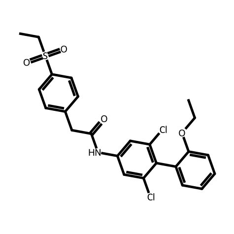 CCOc1ccccc1-c1c(Cl)cc(NC(=O)Cc2ccc(S(=O)(=O)CC)cc2)cc1Cl